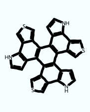 c1cc2c([nH]1)c1cscc1c1c2c2c3cscc3c3[nH]ccc3c2c2c3cscc3c3[nH]ccc3c12